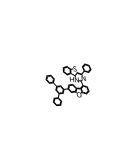 c1ccc(C2=C3Sc4ccccc4C3NC(c3cccc4oc5cc(-c6cc(-c7ccccc7)cc(-c7ccccc7)c6)ccc5c34)=N2)cc1